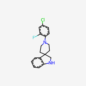 Fc1cc(Cl)ccc1N1CCC2(CC1)CNc1ccccc12